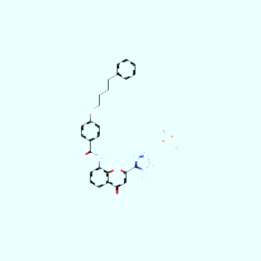 CS(=O)(=O)O.O=C(Nc1cccc2c(=O)cc(-c3nnn[nH]3)oc12)c1ccc(OCCCCc2ccccc2)cc1